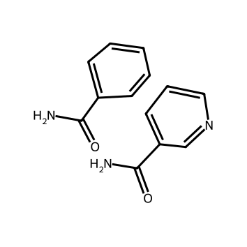 NC(=O)c1ccccc1.NC(=O)c1cccnc1